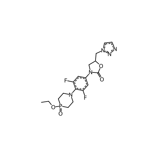 CCOP1(=O)CCN(c2c(F)cc(N3CC(Cn4ccnn4)OC3=O)cc2F)CC1